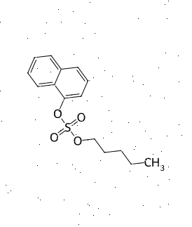 CCCCCOS(=O)(=O)Oc1cccc2ccccc12